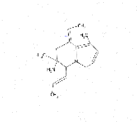 CC=CC1N2CC=CC(C)=C2/C(=C\C)CC1(C)N